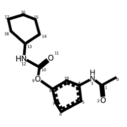 CC(=O)Nc1cccc(OC(=O)NC2CCCCC2)c1